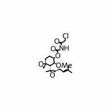 CO[C@H]1[C@H](C2(C)O[C@@H]2CC=C(C)C)[C@]2(CC[C@H]1OC(=O)NC(=O)CCl)CO2